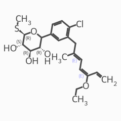 C=C/C(=C\C=C(/C)Cc1cc(C2O[C@H](SC)[C@@H](O)[C@H](O)[C@H]2O)ccc1Cl)OCC